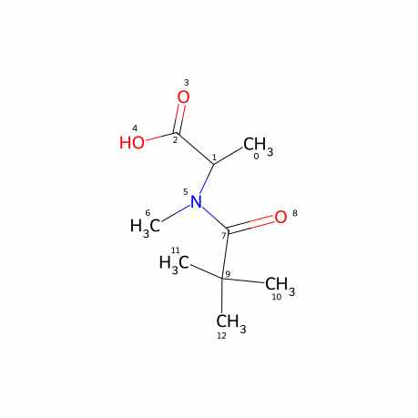 CC(C(=O)O)N(C)C(=O)C(C)(C)C